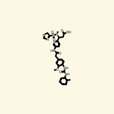 COc1cc(CC(=O)Nc2ccc(C(CC(=O)O)N(C)S(=O)(=O)C3=NC=NC3)nc2)ccc1NC(=O)Nc1ccccc1C